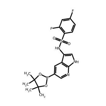 CC1(C)OB(c2cnc3[nH]cc(NS(=O)(=O)c4ccc(F)cc4F)c3c2)OC1(C)C